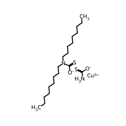 CCCCCCCCCN(CCCCCCCCC)C([O-])=S.NC([O-])=S.[Cu+2]